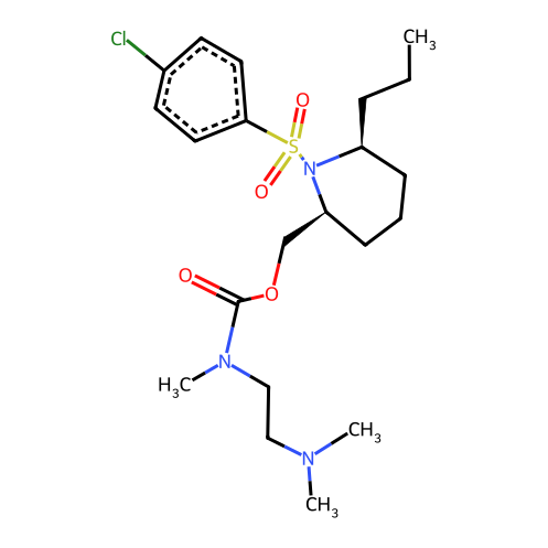 CCC[C@H]1CCC[C@@H](COC(=O)N(C)CCN(C)C)N1S(=O)(=O)c1ccc(Cl)cc1